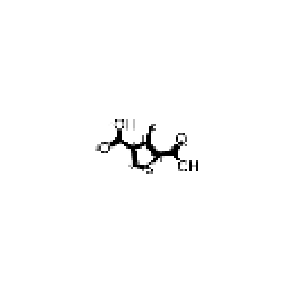 Cc1c(C(=O)O)csc1C(=O)O